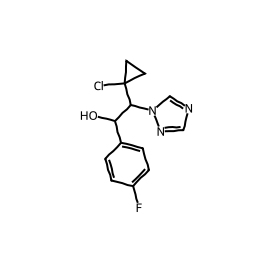 OC(c1ccc(F)cc1)C(n1cncn1)C1(Cl)CC1